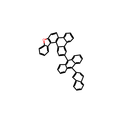 c1ccc2cc(-c3c4ccccc4c(-c4ccc5c(c4)c4ccccc4c4ccc6oc7ccccc7c6c45)c4ccccc34)ccc2c1